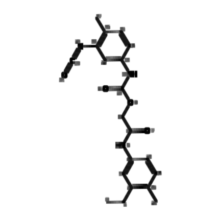 CCc1cc(NC(=O)COC(=O)Nc2ccc(C)c(N=C=O)c2)ccc1C